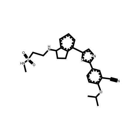 CNS(=O)(=O)CCNC1CCc2c(-c3cnc(-c4ccc(OC(C)C)c(C#N)c4)s3)cccc21